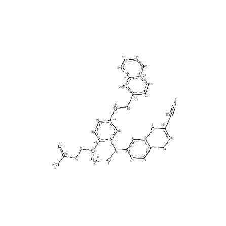 COC(c1ccc2c(c1)OC(C#N)=CC2)c1cc(OCc2ccc3ccccc3n2)ccc1OCCC(=O)O